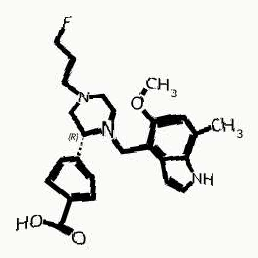 COc1cc(C)c2[nH]ccc2c1CN1CCN(CCCF)C[C@H]1c1ccc(C(=O)O)cc1